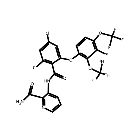 [2H]C([2H])([2H])Oc1c(Oc2cc(Cl)cc(Cl)c2C(=O)Nc2cccnc2C(N)=O)ccc(OC(F)(F)F)c1F